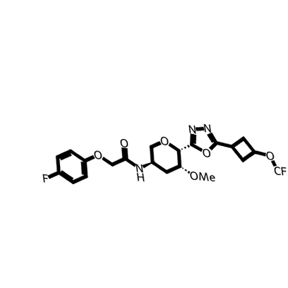 CO[C@@H]1C[C@@H](NC(=O)COc2ccc(F)cc2)CO[C@@H]1c1nnc(C2CC(OC(F)(F)F)C2)o1